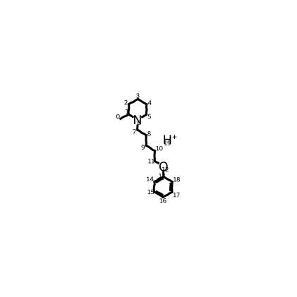 CC1CCCCN1CCCCCOc1ccccc1.[H+]